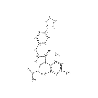 Cc1cc(C)c(C2=C(OC(=O)C(C)(C)C)CC(Cc3ccc(C4CSN=N4)cc3)C2=O)c(C)c1